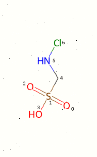 O=S(=O)(O)CNCl